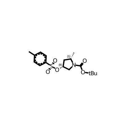 Cc1ccc(S(=O)(=O)O[C@@H]2C[C@H](C)N(C(=O)OC(C)(C)C)C2)cc1